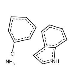 Clc1ccccc1.N.c1ccc2[nH]ccc2c1